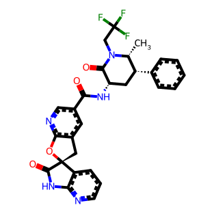 C[C@@H]1[C@H](c2ccccc2)C[C@H](NC(=O)c2cnc3c(c2)C[C@]2(O3)C(=O)Nc3ncccc32)C(=O)N1CC(F)(F)F